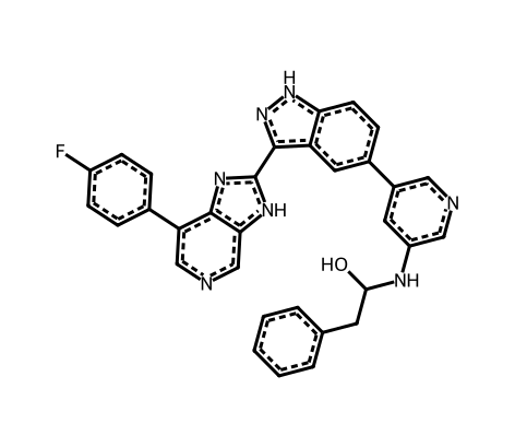 OC(Cc1ccccc1)Nc1cncc(-c2ccc3[nH]nc(-c4nc5c(-c6ccc(F)cc6)cncc5[nH]4)c3c2)c1